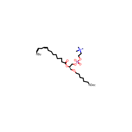 CCCC/C=C\C/C=C\CCCCCCCC(=O)O[C@H](COCCCCCCCCCCCCCCCC)COP(=O)([O-])OCC[N+](C)(C)C